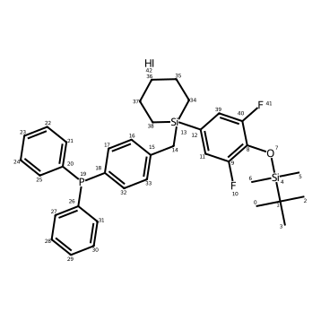 CC(C)(C)[Si](C)(C)Oc1c(F)cc([Si]2(Cc3ccc(P(c4ccccc4)c4ccccc4)cc3)CCCCC2)cc1F.I